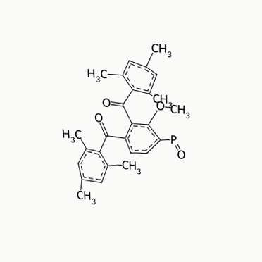 COc1c(P=O)ccc(C(=O)c2c(C)cc(C)cc2C)c1C(=O)c1c(C)cc(C)cc1C